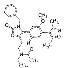 CCN(Cc1nc2cc(-c3c(C)noc3C)c(OC)cc2c2c1oc(=O)n2Cc1ccccc1)C(C)=O